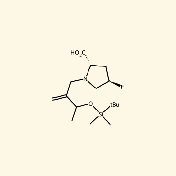 C=C(CN1C[C@H](F)C[C@H]1C(=O)O)C(C)O[Si](C)(C)C(C)(C)C